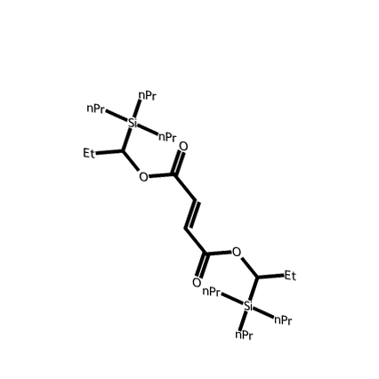 CCC[Si](CCC)(CCC)C(CC)OC(=O)/C=C/C(=O)OC(CC)[Si](CCC)(CCC)CCC